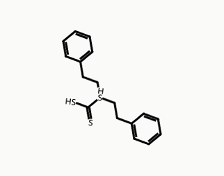 S=C(S)[SH](CCc1ccccc1)CCc1ccccc1